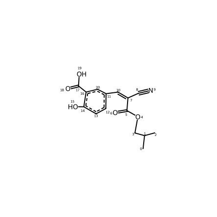 CC(C)COC(=O)C(C#N)=Cc1ccc(O)c(C(=O)O)c1